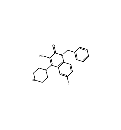 N#Cc1c(N2CCNCC2)c2cc(Cl)ccc2n(Cc2ccccc2)c1=O